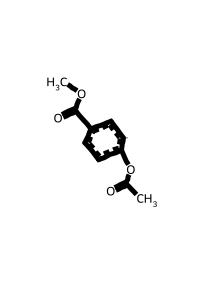 COC(=O)c1c[c]c(OC(C)=O)cc1